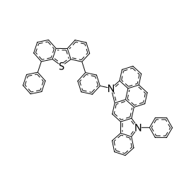 c1ccc(-c2cccc3c2sc2c(-c4cccc(-n5c6cccc7ccc8c(c76)c5cc5c6ccccc6n(-c6ccccc6)c58)c4)cccc23)cc1